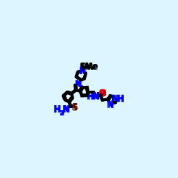 CSN1CCC(n2cc(-c3cccc(C(N)=S)c3)c3ccc(CNC(=O)Cc4c[nH]cn4)cc32)CC1